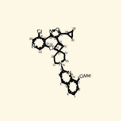 COc1cccc2ccc(N3CCC4(C=C(c5c(-c6c(Cl)cncc6Cl)noc5C5CC5)C4)CC3)nc12